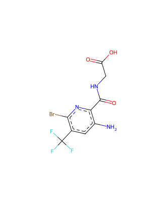 Nc1cc(C(F)(F)F)c(Br)nc1C(=O)NCC(=O)O